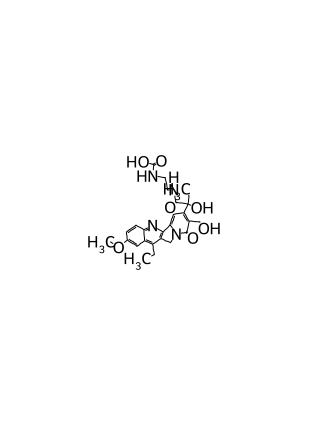 CCc1c2c(nc3ccc(OC)cc13)-c1cc(C(O)(CC)C(=O)NCCNC(=O)O)c(CO)c(=O)n1C2